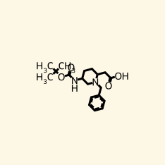 CC(C)(C)OC(=O)NC1CCC(CC(=O)O)N(Cc2ccccc2)C1